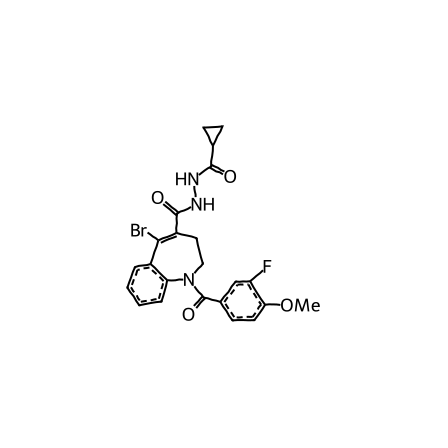 COc1ccc(C(=O)N2CCC(C(=O)NNC(=O)C3CC3)=C(Br)c3ccccc32)cc1F